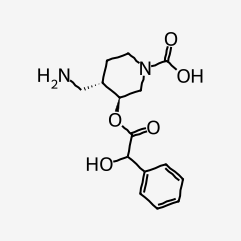 NC[C@@H]1CCN(C(=O)O)C[C@H]1OC(=O)C(O)c1ccccc1